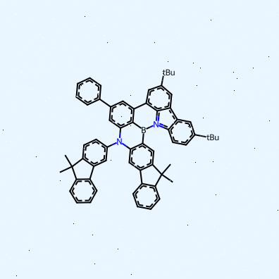 CC(C)(C)c1ccc2c(c1)c1cc(C(C)(C)C)cc3c1n2B1c2cc4c(cc2N(c2ccc5c(c2)-c2ccccc2C5(C)C)c2cc(-c5ccccc5)cc-3c21)-c1ccccc1C4(C)C